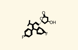 CC(C)C(C=C[C@H]1C[C@H](O)CC(=O)O1)=C(c1ccc(F)cc1)c1ccc(F)cc1